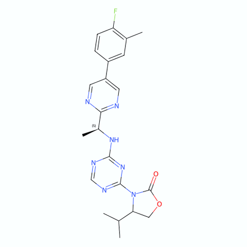 Cc1cc(-c2cnc([C@H](C)Nc3ncnc(N4C(=O)OCC4C(C)C)n3)nc2)ccc1F